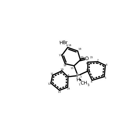 Br.C[PH](c1ccccc1)(c1ccccc1)C1C=CC=CC1=O